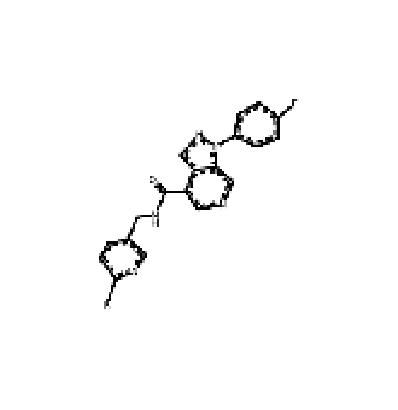 O=C(NCc1ccc(Br)nc1)c1cncc2c1cnn2-c1ccc(F)cc1